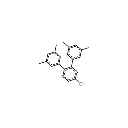 Cc1cc(C)cc(-c2ncc(O)nc2-c2cc(C)cc(C)c2)c1